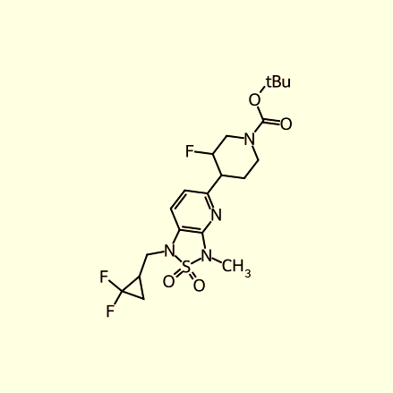 CN1c2nc(C3CCN(C(=O)OC(C)(C)C)CC3F)ccc2N(CC2CC2(F)F)S1(=O)=O